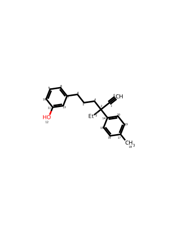 C#CC(CC)(CCCc1cccc(O)c1)c1ccc(C)cc1